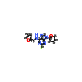 Cc1coc(CNc2nc(F)nc3c2ncn3C2CCCCO2)c1